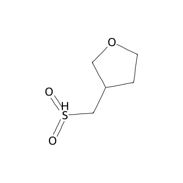 O=[SH](=O)CC1CCOC1